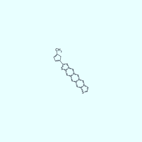 CC1=CC=C(c2cc3cc4cc5cc6ccsc6cc5cc4cc3s2)C1